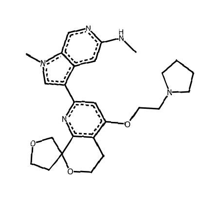 CNc1cc2c(-c3cc(OCCN4CCCC4)c4c(n3)C3(CCOC3)OCC4)cn(C)c2cn1